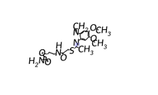 C=Nc1cc(OC)c(OC)cc1/N=C(\C)SCC(=O)NCCS(N)(=O)=O